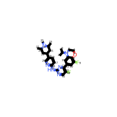 CC(C)N1CCOc2c(F)cc(-c3nc(Nc4ccc(C5CC(C)N(C)C(C)C5)cn4)ncc3F)cc21